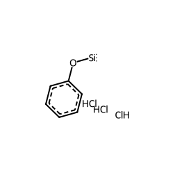 Cl.Cl.Cl.[Si]Oc1ccccc1